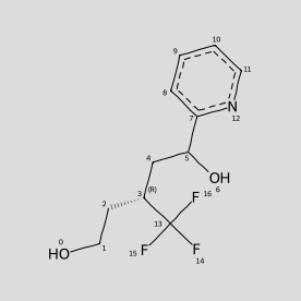 OCC[C@H](CC(O)c1ccccn1)C(F)(F)F